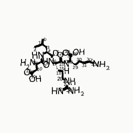 CC(C)C[C@H](NC(=O)[C@H](N)CC(=O)O)C(=O)N[C@@H](CCCNC(=N)N)C(=O)N[C@H](CCCCN)C(=O)O